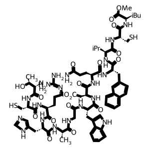 CC[C@H](C)[C@H](NC(=O)[C@H](CS)NC(=O)[C@@H](NC(=O)[C@H](Cc1ccc2ccccc2c1)NC(=O)[C@H](CCC(N)=O)NC(=O)[C@H](CC(=O)O)NC(=O)[C@H](Cc1c[nH]c2ccccc12)NC(=O)CNC(=O)[C@H](C)NC(=O)[C@H](Cc1cnc[nH]1)NC(=O)[C@H](CCCN=C(N)N)NC(=O)[C@H](CS)NC(=O)[C@@H](N)[C@@H](C)O)C(C)C)C(=O)OC